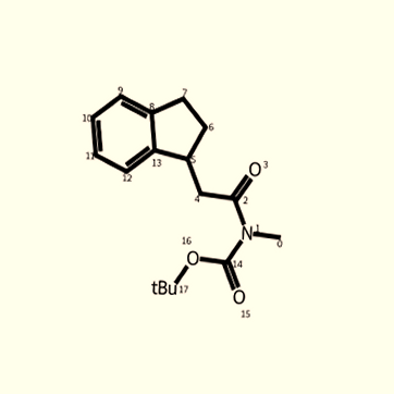 CN(C(=O)CC1CCc2ccccc21)C(=O)OC(C)(C)C